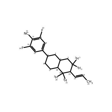 [2H]C1([2H])CC2CC(c3cc(F)c(C#N)c(F)c3)CCC2C([2H])([2H])C1/C=C/C